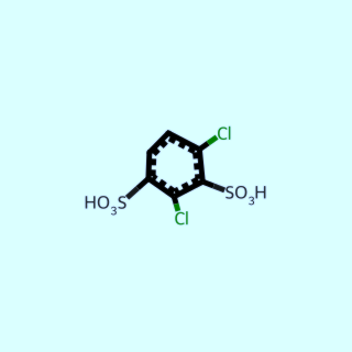 O=S(=O)(O)c1ccc(Cl)c(S(=O)(=O)O)c1Cl